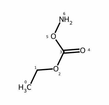 CCOC(=O)ON